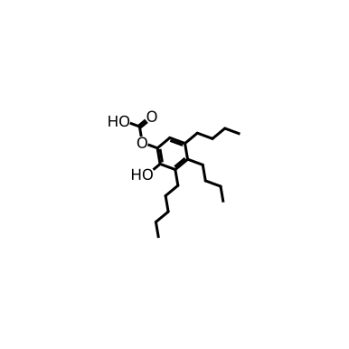 CCCCCc1c(O)c(OC(=O)O)cc(CCCC)c1CCCC